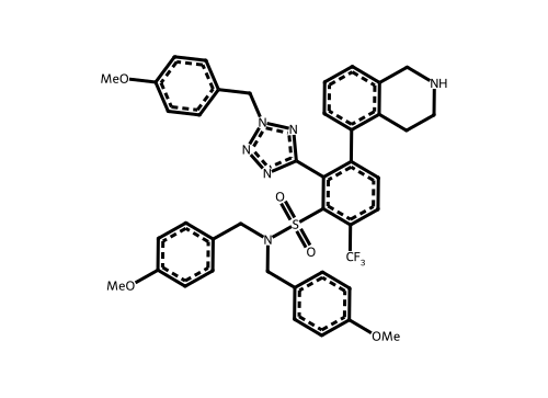 COc1ccc(CN(Cc2ccc(OC)cc2)S(=O)(=O)c2c(C(F)(F)F)ccc(-c3cccc4c3CCNC4)c2-c2nnn(Cc3ccc(OC)cc3)n2)cc1